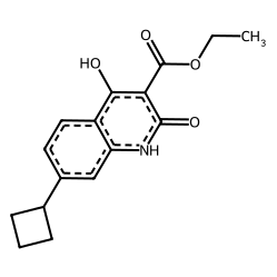 CCOC(=O)c1c(O)c2ccc(C3CCC3)cc2[nH]c1=O